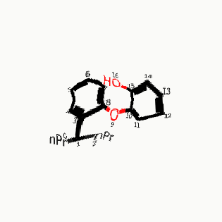 CCCC(CCC)c1ccccc1Oc1ccccc1O